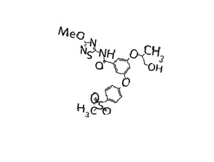 COc1nsc(NC(=O)c2cc(Oc3ccc(S(C)(=O)=O)cc3)cc(OC(C)CO)c2)n1